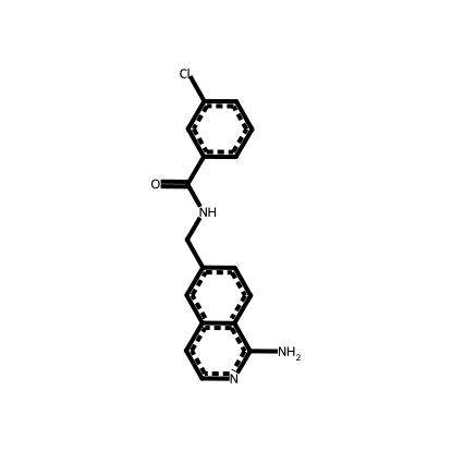 Nc1nccc2cc(CNC(=O)c3cccc(Cl)c3)ccc12